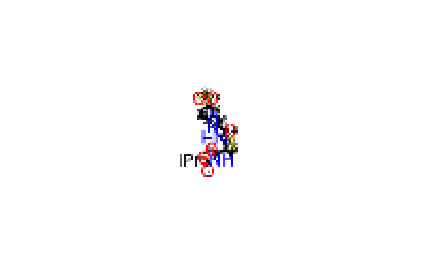 CC(C)OC(=O)NC(=O)c1ccsc1NC(=O)c1cn2cc(S(C)(=O)=O)ccc2n1